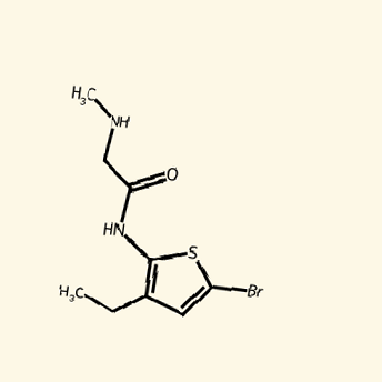 CCc1cc(Br)sc1NC(=O)CNC